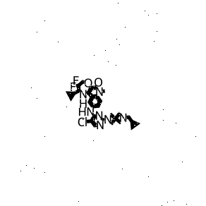 Cn1c(=O)c2c(c3cc(Nc4nc(N5CC6(CN(CC7CC7)C6)C5)ncc4Cl)ccc31)NC(C1CC1)C(F)(F)CO2